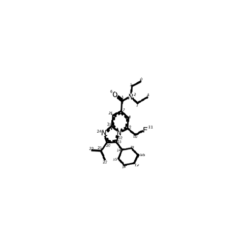 CCN(CC)C(=O)c1cc(CF)n2c(C3CCCCC3)c(C(C)C)nc2c1